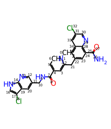 C=N/C(=C\C(=C/C)C(=O)NCc1cnc2[nH]cc(Cl)c2c1)Cc1cc(C(N)=O)c2ncc(Cl)cc2c1